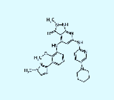 COc1c(Nc2cc(Nc3ccc(N4CCCCC4)cn3)nc3[nH]n(C)c(=O)c23)cccc1-c1ccn(C)n1